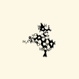 Cn1nc(NS(C)(=O)=O)c2c(Cl)ccc(-c3cc4[nH]c(C5CC5)nc4nc3[C@H](Cc3cc(F)cc(F)c3)NC(=O)Cn3nc(C(F)F)c4c3C(F)(F)[C@@H]3C[C@H]43)c21